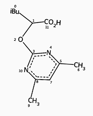 CCC(C)C(Oc1nc(C)cc(C)n1)C(=O)O